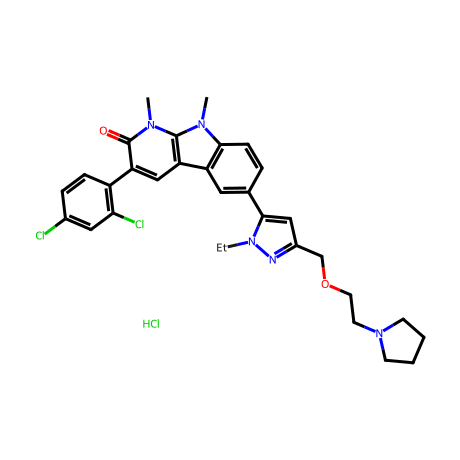 CCn1nc(COCCN2CCCC2)cc1-c1ccc2c(c1)c1cc(-c3ccc(Cl)cc3Cl)c(=O)n(C)c1n2C.Cl